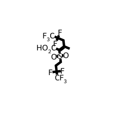 CC(CC(F)(F)C(F)(F)F)=C(C(=O)O)S(=O)(=O)CCC(F)(F)C(F)(F)F